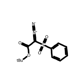 CC(C)(C)OC(=O)C(=[N+]=[N-])S(=O)(=O)c1ccccc1